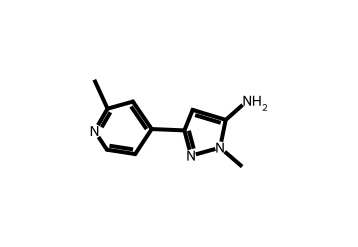 Cc1cc(-c2cc(N)n(C)n2)ccn1